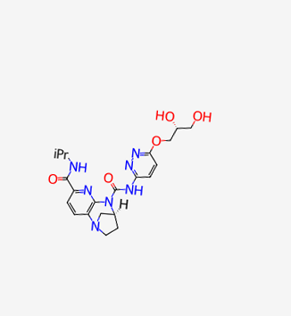 CC(C)NC(=O)c1ccc2c(n1)N(C(=O)Nc1ccc(OC[C@H](O)CO)nn1)[C@H]1CCN2C1